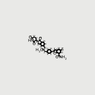 CN(Cc1ccc(-c2cc3cc(F)cc(C(N)=O)c3o2)cc1)Cc1ccc2c(c1)CN(C1CCC(=O)NC1=O)C2=O